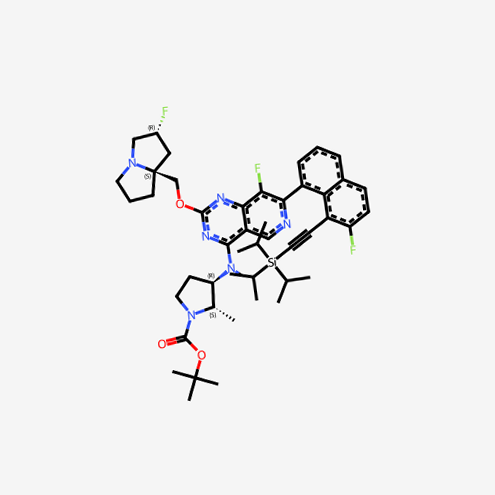 CC(C)[Si](C#Cc1c(F)ccc2cccc(-c3ncc4c(N(C)[C@@H]5CCN(C(=O)OC(C)(C)C)[C@H]5C)nc(OC[C@@]56CCCN5C[C@H](F)C6)nc4c3F)c12)(C(C)C)C(C)C